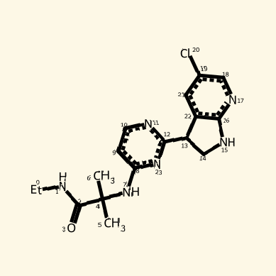 CCNC(=O)C(C)(C)Nc1ccnc(C2CNc3ncc(Cl)cc32)n1